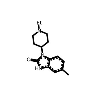 CCN1CCC(n2c(=O)[nH]c3cc(C)ccc32)CC1